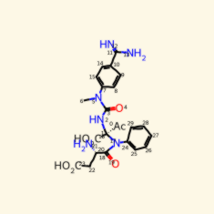 CC(=O)[C@@](NC(=O)N(C)c1ccc(C(=N)N)cc1)(C(=O)O)N(C(=O)[C@@H](N)CC(=O)O)c1ccccc1